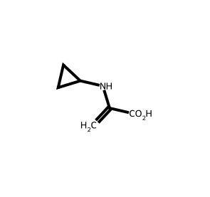 C=C(NC1CC1)C(=O)O